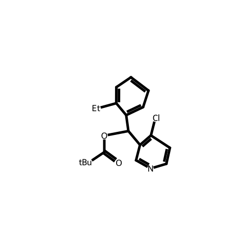 CCc1ccccc1C(OC(=O)C(C)(C)C)c1cnccc1Cl